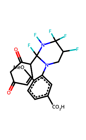 COc1ccc(C(=O)O)cc1N1CC(F)C(F)(F)N(F)C1(F)C1C=CC(=O)CC1=O